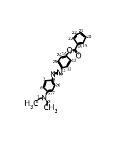 CCN(CC)c1ccc(N=Nc2ccc(OC(=O)c3ccccc3)cc2)cc1